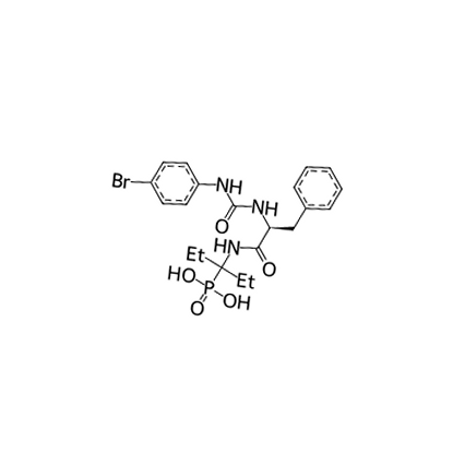 CCC(CC)(NC(=O)[C@H](Cc1ccccc1)NC(=O)Nc1ccc(Br)cc1)P(=O)(O)O